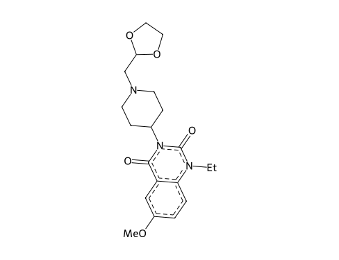 CCn1c(=O)n(C2CCN(CC3OCCO3)CC2)c(=O)c2cc(OC)ccc21